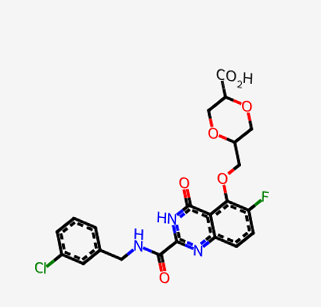 O=C(NCc1cccc(Cl)c1)c1nc2ccc(F)c(OCC3COC(C(=O)O)CO3)c2c(=O)[nH]1